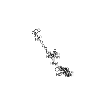 CC(C)C(NC(=O)[C@@H](CCCCNC(=O)COC1CCCCCc2c1nnn2[C@H]1O[C@H](CO)[C@@H](O[C@H]2O[C@H](CO)[C@@H](O)[C@H](O)[C@H]2O)[C@H](O)[C@H]1O)NC(=O)CCOCCOCCOCCOCCNC(=O)CCC(=O)N1Cc2ccccc2C#Cc2ccccc21)C(=O)N[C@@H](C)C(=O)P